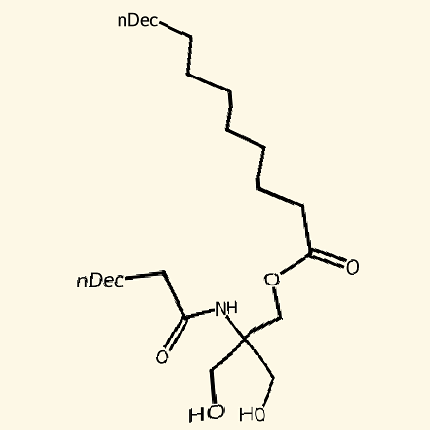 CCCCCCCCCCCCCCCCCC(=O)OCC(CO)(CO)NC(=O)CCCCCCCCCCC